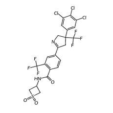 O=C(NC1CS(=O)(=O)C1)c1ccc(C2=NCC(c3cc(Cl)c(Cl)c(Cl)c3)(C(F)(F)F)C2)cc1C(F)(F)F